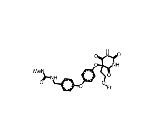 CCOCCC1(Oc2ccc(Oc3ccc(CNC(=O)NC)cc3)cc2)C(=O)NC(=O)NC1=O